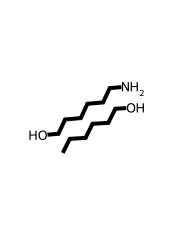 CCCCCCO.NCCCCCCO